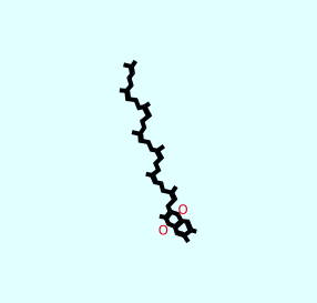 CC(C)=CCCC(C)=CCCC(C)=CCCC(C)=CCCC(C)=CCCC(C)=CCCC(C)=CCC1=C(C)C(=O)c2cc(C)c(C)cc2C1=O